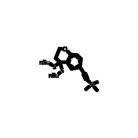 CCCCSC1(SCCCC)CCOc2ccc(C#C[Si](C)(C)C)cc21